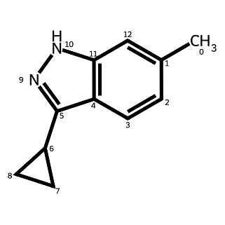 Cc1ccc2c(C3CC3)n[nH]c2c1